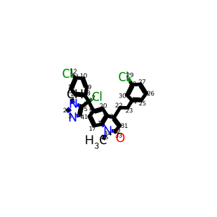 Cn1cncc1C(Cl)(c1ccc(Cl)cc1)c1ccc2c(c1)c(CCc1cccc(Cl)c1)cc(=O)n2C